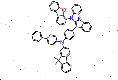 CC1(C)c2ccccc2-c2ccc(N(c3ccc(-c4ccccc4)cc3)c3ccc(-c4c5ccccc5n5c6ccccc6n(-c6cccc7c6oc6ccccc67)c45)cc3)cc21